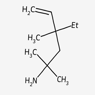 C=CC(C)(CC)CC(C)(C)N